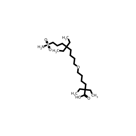 CCC(CC)(CCCCOCCCCC(CC)(CC)C(=O)O)CCCS(N)(=O)=O